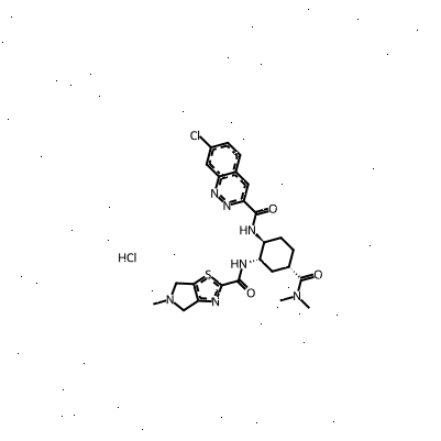 CN1Cc2nc(C(=O)N[C@H]3C[C@@H](C(=O)N(C)C)CC[C@@H]3NC(=O)c3cc4ccc(Cl)cc4nn3)sc2C1.Cl